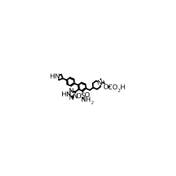 C[N+]1(COC(=O)O)CCC(Cc2ccc(-c3ccc(C4CNC4)cc3)c(-c3nn[nH]n3)c2S(N)(=O)=O)CC1